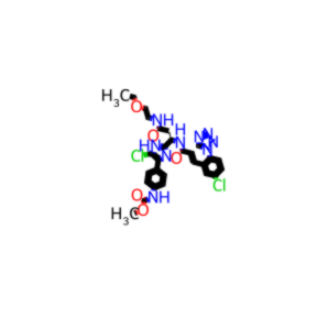 CCOCCNC(=O)C[C@H](NC(=O)C=Cc1cc(Cl)ccc1-n1cnnn1)c1nc(-c2ccc(NC(=O)OC)cc2)c(Cl)[nH]1